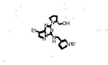 CCc1cnn2c(NCc3ccc[n+]([O-])c3)nc(N3CCC[C@H]3CO)nc12